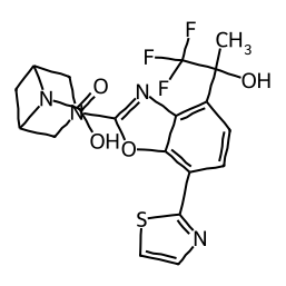 CC(O)(c1ccc(-c2nccs2)c2oc(N3CC4CC(C3)N4C(=O)O)nc12)C(F)(F)F